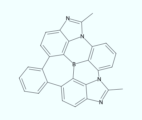 Cc1nc2ccc3c4c2n1-c1cccc2c1B4c1c(ccc4nc(C)n-2c14)-c1ccccc1-3